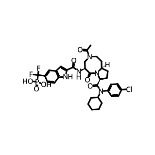 CC(=O)N1CC[C@H]2CC[C@@H](C(=O)N(c3ccc(Cl)cc3)C3CCCCC3)N2C(=O)[C@@H](NC(=O)c2cc3cc(C(F)(F)P(=O)(O)O)ccc3[nH]2)C1